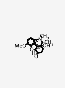 COc1ccc2c3c1O[C@H]1C(=O)CC[C@@]4(O)[C@@H](C)N(C)C2C[C@]314